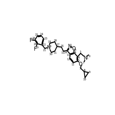 CN(C)Cc1c(OCC2CC2)ccc2c(CCC3CCN(Cc4cccc(F)c4F)CC3)noc12